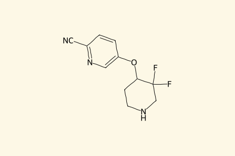 N#Cc1ccc(OC2CCNCC2(F)F)cn1